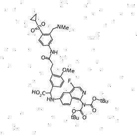 CNCc1cc(NC(=O)CCc2cc(C(Nc3ccc4c(N(C(=O)OC(C)(C)C)C(=O)OC(C)(C)C)ncc(F)c4c3)C(=O)O)ccc2OC)ccc1S(=O)(=O)C1CC1